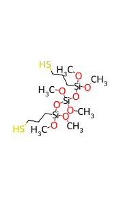 CO[Si](CCCS)(OC)O[Si](OC)(OC)O[Si](CCCS)(OC)OC